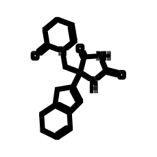 O=C1NC(=O)C(CN2C=CCCC2=O)(C2=CC3=C(CCC=C3)C2)N1